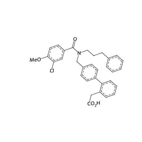 COc1ccc(C(=O)N(CCCc2ccccc2)Cc2ccc(-c3ccccc3CC(=O)O)cc2)cc1Cl